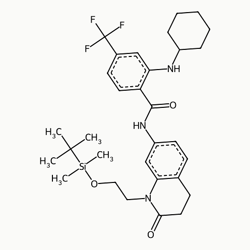 CC(C)(C)[Si](C)(C)OCCN1C(=O)CCc2ccc(NC(=O)c3ccc(C(F)(F)F)cc3NC3CCCCC3)cc21